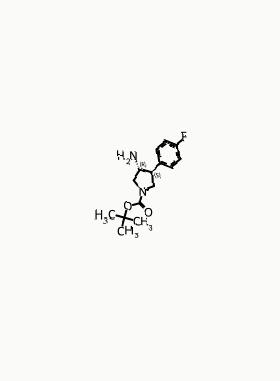 CC(C)(C)OC(=O)N1C[C@H](c2ccc(F)cc2)[C@@H](N)C1